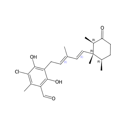 CC(/C=C/[C@@]1(C)[C@H](C)CCC(=O)[C@@H]1C)=C\Cc1c(O)c(Cl)c(C)c(C=O)c1O